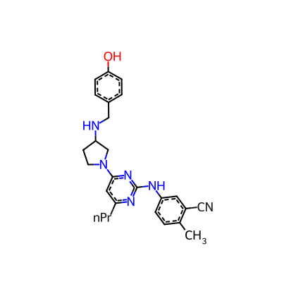 CCCc1cc(N2CCC(NCc3ccc(O)cc3)C2)nc(Nc2ccc(C)c(C#N)c2)n1